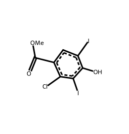 COC(=O)c1cc(I)c(O)c(I)c1Cl